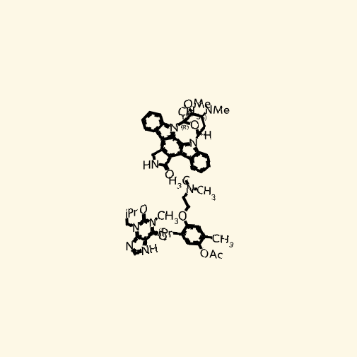 CC(=O)Oc1cc(C(C)C)c(OCCN(C)C)cc1C.CC(C)Cn1c(=O)n(C)c(=O)c2[nH]cnc21.CN[C@H]1C[C@@H]2O[C@](C)([C@H]1OC)n1c3ccccc3c3c4c(c5c6ccccc6n2c5c31)C(=O)NC4